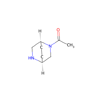 CC(=O)N1C[C@@H]2CC[C@H]1CN2